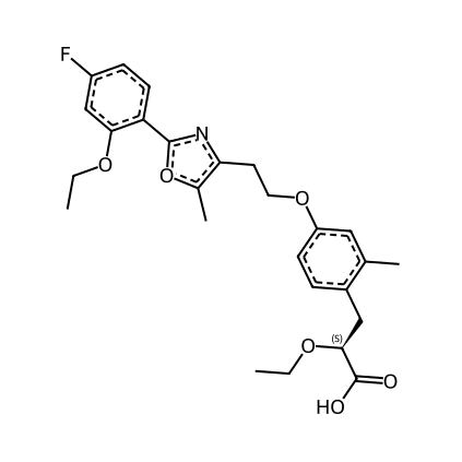 CCOc1cc(F)ccc1-c1nc(CCOc2ccc(C[C@H](OCC)C(=O)O)c(C)c2)c(C)o1